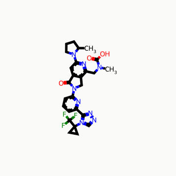 CC1CCCN1c1cc2c(c(CN(C)C(=O)O)n1)CN(c1cccc(-c3nncn3C3(C(F)(F)F)CC3)n1)C2=O